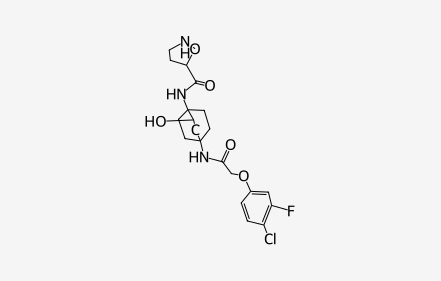 O=C(COc1ccc(Cl)c(F)c1)NC12CCC(NC(=O)C3CCNO3)(CC1)C(O)C2